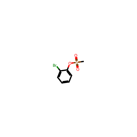 CS(=O)(=O)Oc1ccccc1Br